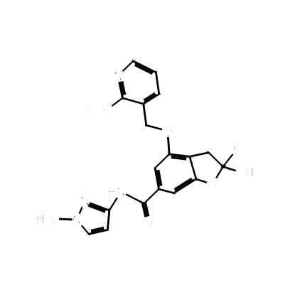 Cc1ncccc1COc1cc(C(=O)Nc2ccn(C)n2)cc2c1CC(C)(C)O2